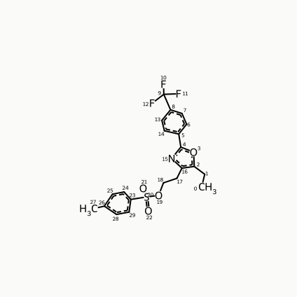 CCc1oc(-c2ccc(C(F)(F)F)cc2)nc1CCOS(=O)(=O)c1ccc(C)cc1